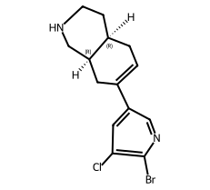 Clc1cc(C2=CC[C@@H]3CCNC[C@@H]3C2)cnc1Br